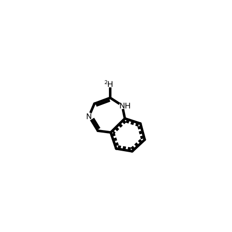 [2H]C1=CN=Cc2ccccc2N1